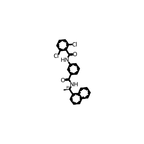 C[C@@H](NC(=O)c1cccc(NC(=O)c2c(Cl)cccc2Cl)c1)c1cccc2ccccc12